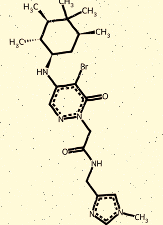 C[C@@H]1[C@@H](C)C(C)(C)[C@@H](C)C[C@H]1Nc1cnn(CC(=O)NCc2cn(C)cn2)c(=O)c1Br